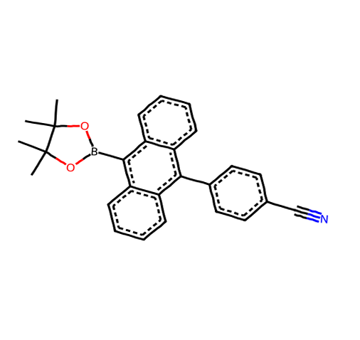 CC1(C)OB(c2c3ccccc3c(-c3ccc(C#N)cc3)c3ccccc23)OC1(C)C